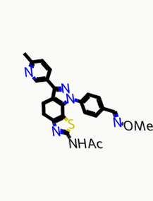 CON=Cc1ccc(-n2nc(-c3ccc(C)nc3)c3c2-c2sc(NC(C)=O)nc2CC3)cc1